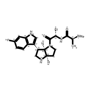 CC[C@H](NC(=O)[C@H](C)NC)C(=O)N1CC[C@H]2NC[C@H](c3c[nH]c4cc(F)ccc34)[C@H]21